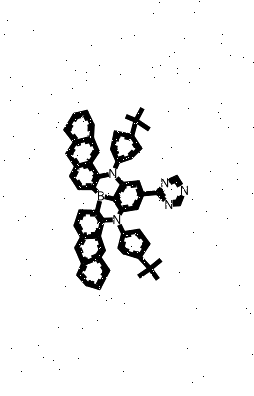 CC(C)(C)c1ccc(N2c3cc(-c4ncncn4)cc4c3B(c3ccc5cc6ccccc6cc5c32)c2ccc3cc5ccccc5cc3c2N4c2ccc(C(C)(C)C)cc2)cc1